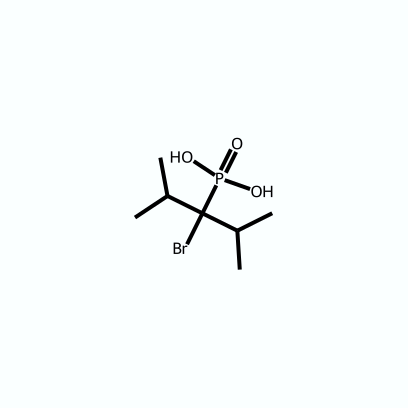 CC(C)C(Br)(C(C)C)P(=O)(O)O